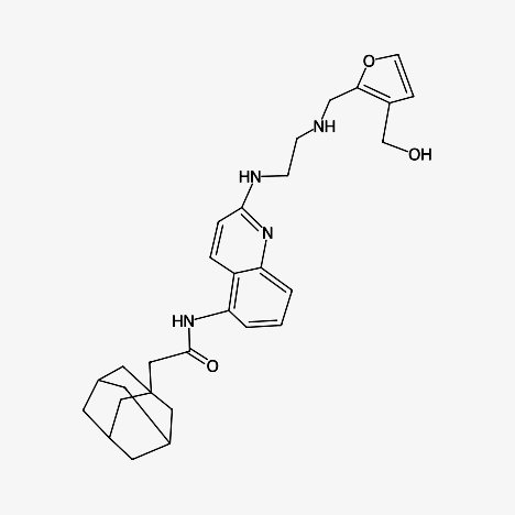 O=C(CC12CC3CC(CC(C3)C1)C2)Nc1cccc2nc(NCCNCc3occc3CO)ccc12